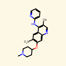 CN1CCC(Oc2cc3ncc(C#N)c(Nc4ccccn4)c3cc2[N+](=O)[O-])CC1